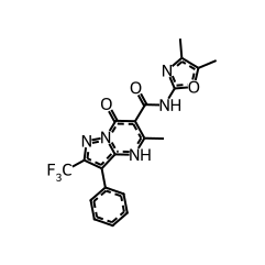 Cc1nc(NC(=O)c2c(C)[nH]c3c(-c4ccccc4)c(C(F)(F)F)nn3c2=O)oc1C